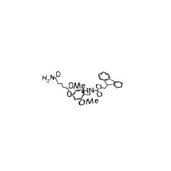 COc1cc(OCCCCC(N)=O)cc(OC)c1CNC(=O)OCC1c2ccccc2-c2ccccc21